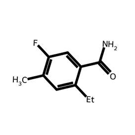 CCc1cc(C)c(F)cc1C(N)=O